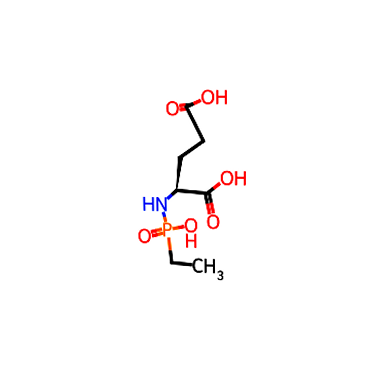 CCP(=O)(O)N[C@@H](CCC(=O)O)C(=O)O